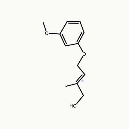 COc1cccc(OC/C=C(\C)CO)c1